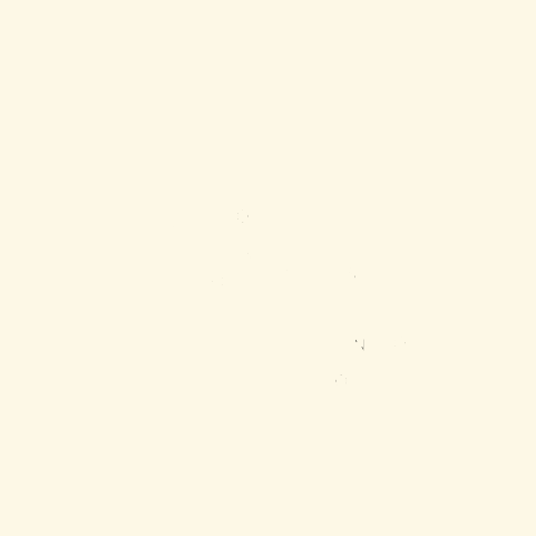 O=C(Oc1ccccc1)c1csc([N+](=O)[O-])c1